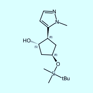 Cn1nccc1[C@H]1C[C@@H](O[Si](C)(C)C(C)(C)C)C[C@@H]1O